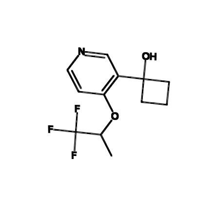 CC(Oc1ccncc1C1(O)CCC1)C(F)(F)F